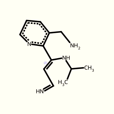 CC(C)N/C(=C\C=N)c1ncccc1CN